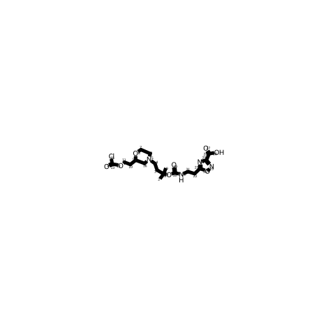 CC(C)(CCN1CCOC(CCOC(=O)Cl)C1)OC(=O)NCCc1nc(C(=O)O)no1